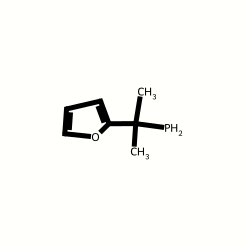 CC(C)(P)c1ccco1